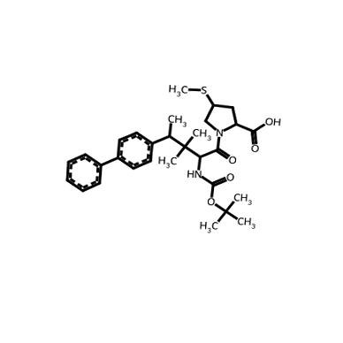 CSC1CC(C(=O)O)N(C(=O)C(NC(=O)OC(C)(C)C)C(C)(C)C(C)c2ccc(-c3ccccc3)cc2)C1